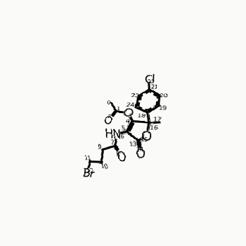 CC(=O)OC1=C(NC(=O)CCCBr)C(=O)OC1(C)c1ccc(Cl)cc1